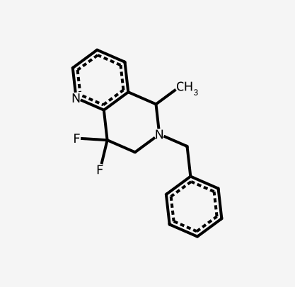 CC1c2cccnc2C(F)(F)CN1Cc1ccccc1